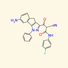 N#CC(C(=O)Nc1ccc(F)cc1)C(=O)c1nn(-c2ccccc2)c2c1Cc1ccc(N)cc1-2